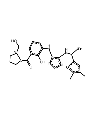 Cc1cc(C(Nc2nsnc2Nc2cccc(C(=O)N3CCC[C@H]3CO)c2O)C(C)C)oc1C